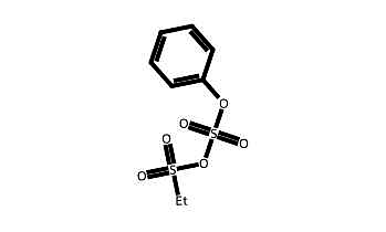 CCS(=O)(=O)OS(=O)(=O)Oc1ccccc1